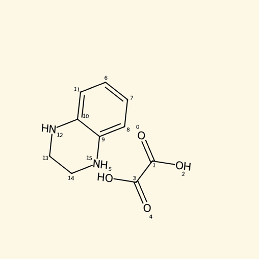 O=C(O)C(=O)O.c1ccc2c(c1)NCCN2